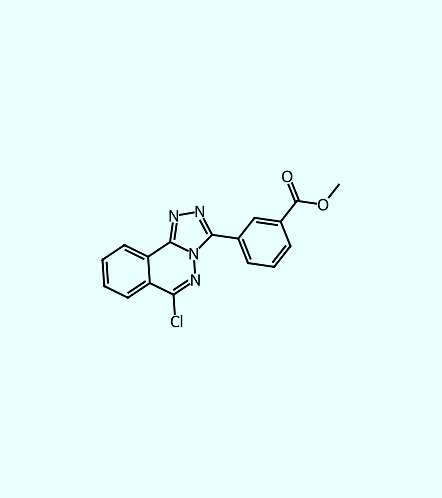 COC(=O)c1cccc(-c2nnc3c4ccccc4c(Cl)nn23)c1